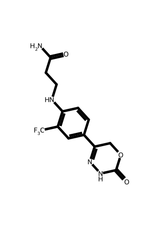 NC(=O)CCNc1ccc(C2=NNC(=O)OC2)cc1C(F)(F)F